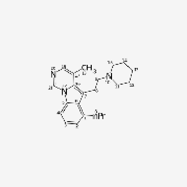 CCCc1cccc2c1c(CCN1CCCCC1)c1c(C)cncn12